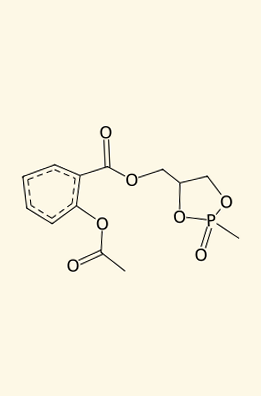 CC(=O)Oc1ccccc1C(=O)OCC1COP(C)(=O)O1